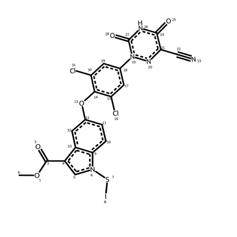 COC(=O)c1cn(SI)c2ccc(Oc3c(Cl)cc(-n4nc(C#N)c(=O)[nH]c4=O)cc3Cl)cc12